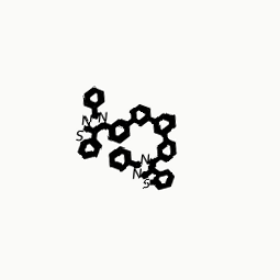 c1ccc(-c2nc(-c3cccc(-c4cccc(-c5cccc(-c6cccc(-c7nc(-c8ccccc8)nc8sc9ccccc9c78)c6)c5)c4)c3)c3c(n2)sc2ccccc23)cc1